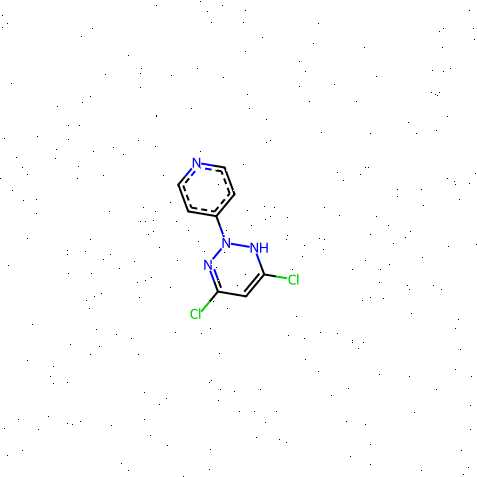 ClC1=CC(Cl)=NN(c2ccncc2)N1